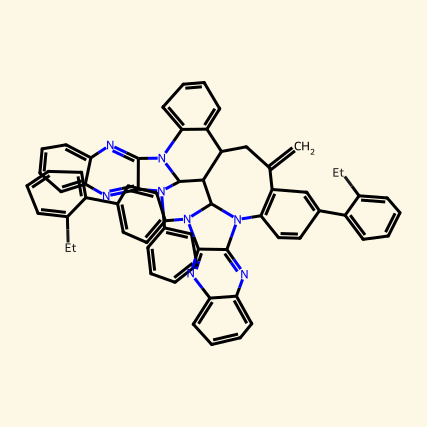 C=C1CC2c3ccccc3N3c4nc5ccccc5nc4N(c4ccccc4)C3C2C2N(c3ccc(-c4ccccc4CC)cc3)c3nc4ccccc4nc3N2c2ccc(-c3ccccc3CC)cc21